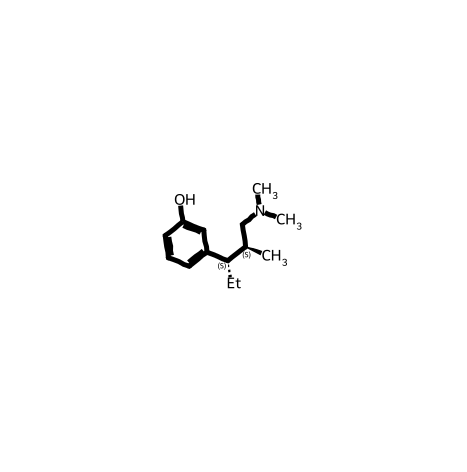 CC[C@H](c1cccc(O)c1)[C@H](C)CN(C)C